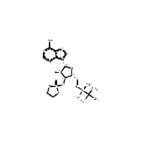 CC(C)(C)[Si](C)(C)OC[C@H]1O[C@@H](n2cnc3c(N)ncnc32)[C@H](F)[C@@H]1OP1(=S)SCCS1